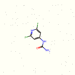 NC(=O)Nc1cc(F)nc(F)c1